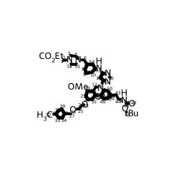 CCOC(=O)CN1CCN(Cc2cccc(Nc3cc(N(Cc4c(OC)cc(OCCOCc5ccc(C)cc5)cc4OC)c4cccc(CCNC(=O)OC(C)(C)C)c4)ncn3)c2)CC1